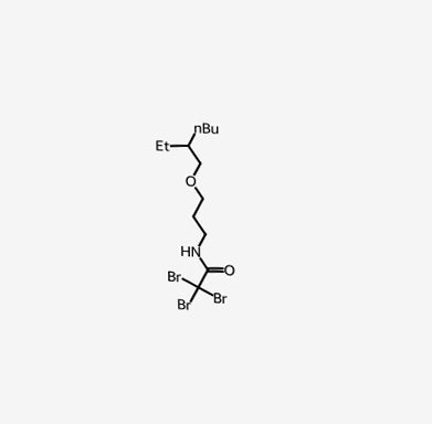 CCCCC(CC)COCCCNC(=O)C(Br)(Br)Br